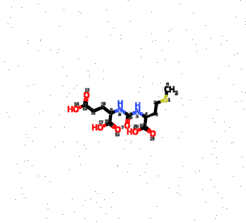 CSCC[C@H](NC(=O)NC(CCC(=O)O)C(=O)O)C(=O)O